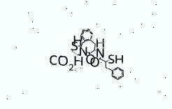 O=C(N[C@H]1Cc2ccccc2[C@@H]2SC[C@@H](C(=O)O)N2C1=O)C(S)Cc1ccccc1